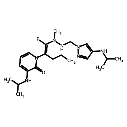 CCC/C(=C(/F)N(C)NCn1cc(NC(C)C)cn1)n1cccc(NC(C)C)c1=O